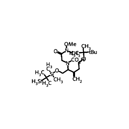 C=C(CCOC(C)(C)C(C)(C)C)C(CO[Si](C)(C)C(C)(C)[SiH3])N(CC(=O)N(C)OC)C(=O)O